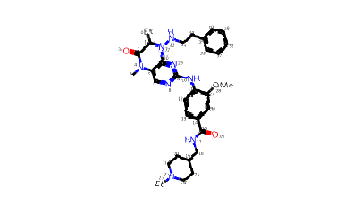 CCC1C(=O)N(C)c2cnc(Nc3ccc(C(=O)NCC4CCN(CC)CC4)cc3OC)nc2N1NCCc1ccccc1